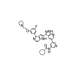 O=C(Nc1cncc(-c2cnc3[nH]nc(-c4cc5c(-c6cc(F)cc(OCCN7CCCC7)c6)nccc5[nH]4)c3c2)c1)C1CCCCC1